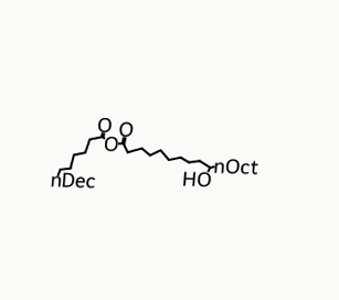 CCCCCCCCCCCCCCCC(=O)OC(=O)CCCCCCCCC(O)CCCCCCCC